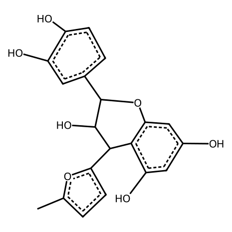 Cc1ccc(C2c3c(O)cc(O)cc3OC(c3ccc(O)c(O)c3)C2O)o1